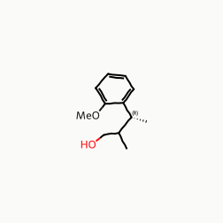 COc1ccccc1[C@H](C)C(C)CO